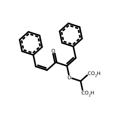 O=C(/C=C\c1ccccc1)/C(=C\c1ccccc1)OC(C(=O)O)C(=O)O